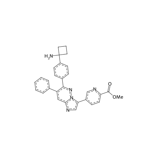 COC(=O)c1ccc(-c2cnc3cc(-c4ccccc4)c(-c4ccc(C5(N)CCC5)cc4)nn23)cn1